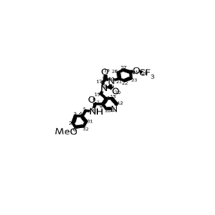 COc1ccc(CNC(=O)c2cnccc2CN2CC(=O)N(c3ccc(OC(F)(F)F)cc3)C2=O)cc1